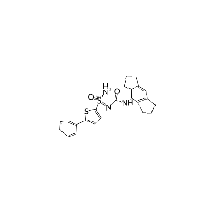 N[S@@](=O)(=NC(=O)Nc1c2c(cc3c1CCC3)CCC2)c1ccc(-c2ccccc2)s1